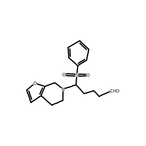 O=CCCCC(N1CCc2ccoc2C1)S(=O)(=O)c1ccccc1